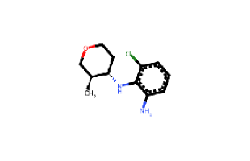 C[C@H]1COCC[C@@H]1Nc1c(N)cccc1Cl